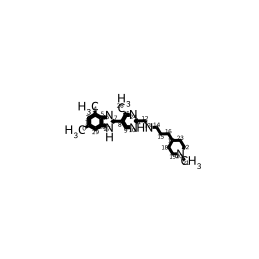 Cc1cc(C)c2nc(-c3cnc(CNCCCC4CCN(C)CC4)nc3C)[nH]c2c1